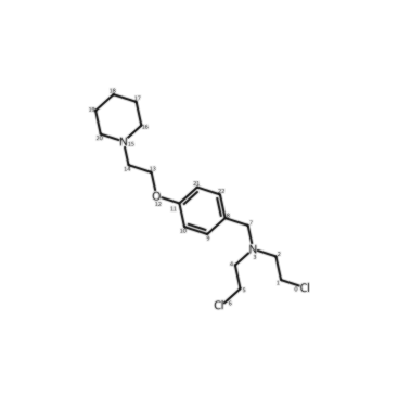 ClCCN(CCCl)Cc1ccc(OCCN2CCCCC2)cc1